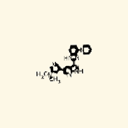 CN(C)c1cncc(-c2cnc3[nH]nc(-c4nc5c(N6CCCCC6)cccc5[nH]4)c3c2)c1